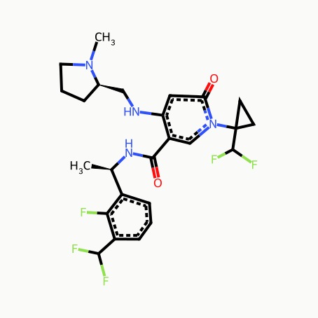 C[C@@H](NC(=O)c1cn(C2(C(F)F)CC2)c(=O)cc1NC[C@H]1CCCN1C)c1cccc(C(F)F)c1F